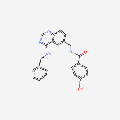 O=C(NCc1ccc2ncnc(NCc3ccccc3)c2c1)c1ccc(O)cc1